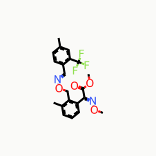 CO/N=C(/C(=O)OC)c1cccc(C)c1CO/N=C/c1ccc(C)cc1C(F)(F)F